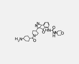 NC1CCC(C(=O)N2CCC(C3=C4C(=O)c5c(NC(=O)NN6CCOCC6)cccc5C4N=N3)CC2)CC1